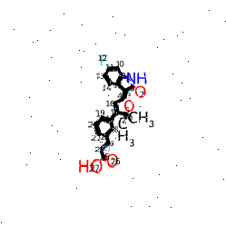 CC1(C)OC(=C2C(=O)Nc3cc(F)ccc32)C=C1c1cccc(/C=C/C(=O)O)c1